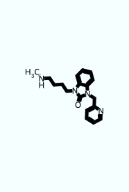 CNCCCCn1c(=O)n(Cc2ccccn2)c2ccccc21